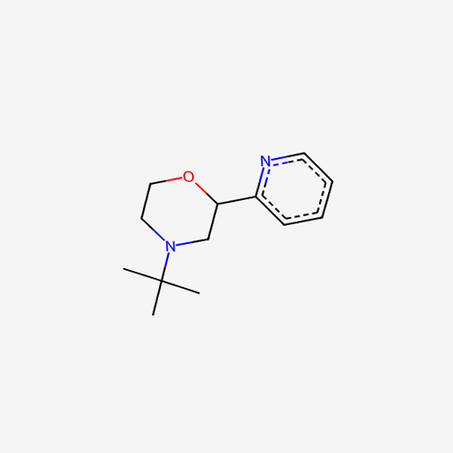 CC(C)(C)N1CCOC(c2ccccn2)C1